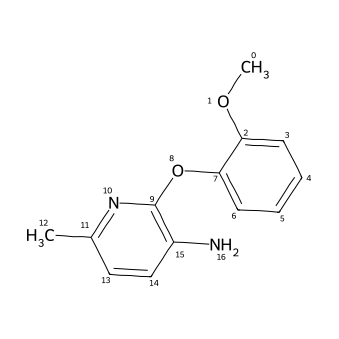 COc1ccccc1Oc1nc(C)ccc1N